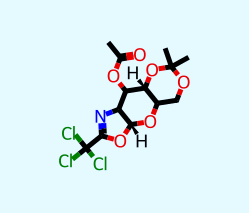 CC(=O)OC1C2N=C(C(Cl)(Cl)Cl)O[C@H]2OC2COC(C)(C)O[C@H]21